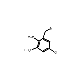 COc1c(CBr)cc(Cl)cc1C(=O)O